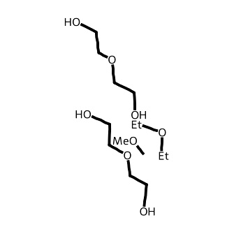 CCOCC.COC.OCCOCCO.OCCOCCO